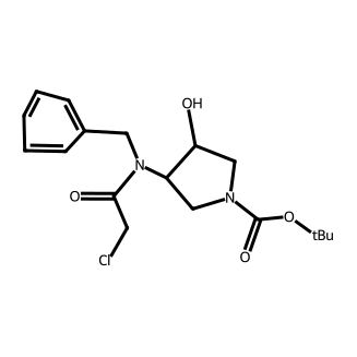 CC(C)(C)OC(=O)N1CC(O)C(N(Cc2ccccc2)C(=O)CCl)C1